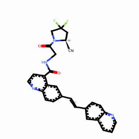 N#C[C@@H]1CC(F)(F)CN1C(=O)CNC(=O)c1ccnc2ccc(/C=C/c3ccc4ncccc4c3)cc12